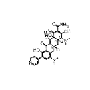 CN(C)c1cc(-c2ccncc2)c(O)c2c1C[C@H]1C[C@H]3[C@H](N(C)C)C(O)=C(C(N)=O)C(=O)C3(O)C(O)=C1C2=O